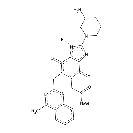 CCn1c(N2CCCC(N)C2)nc2c(=O)n(CC(=O)NC)n(Cc3nc(C)c4ccccc4n3)c(=O)c21